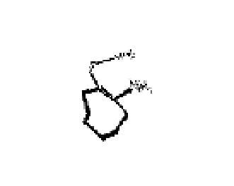 NSC1=C(N)CCCC1